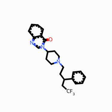 O=c1c2ccccc2ncn1C1CCN(CCC(CC(F)(F)F)c2ccccc2)CC1